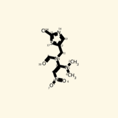 CN(C)C(=C[N+](=O)[O-])N(C=O)Cc1cnc(Cl)s1